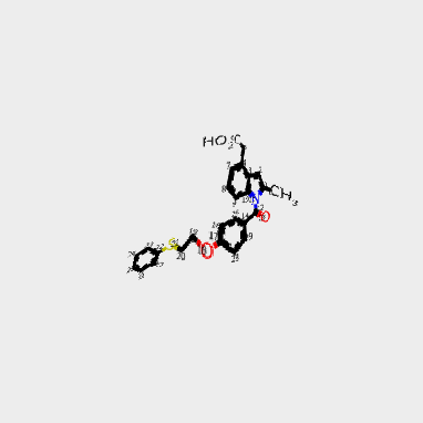 Cc1cc2c(CC(=O)O)cccc2n1C(=O)c1ccc(OCCSc2ccccc2)cc1